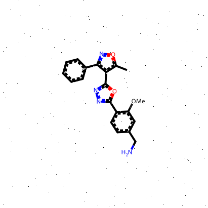 COc1cc(CN)ccc1-c1nnc(-c2c(-c3ccccc3)noc2C)o1